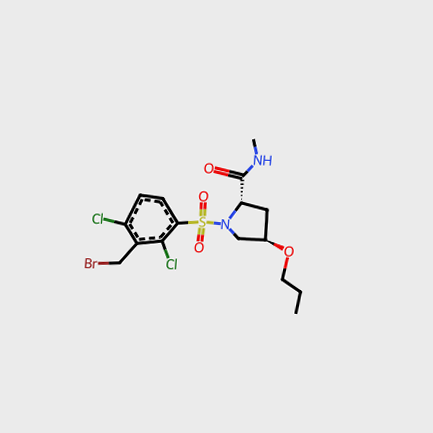 CCCO[C@@H]1C[C@@H](C(=O)NC)N(S(=O)(=O)c2ccc(Cl)c(CBr)c2Cl)C1